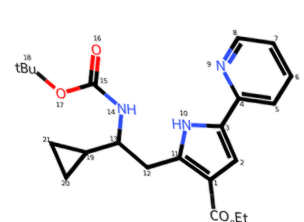 CCOC(=O)c1cc(-c2ccccn2)[nH]c1CC(NC(=O)OC(C)(C)C)C1CC1